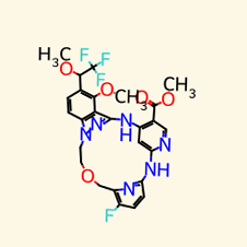 COC(=O)c1cnc2cc1Nc1nn(c3ccc(C(OC)C(F)(F)F)c(OC)c13)CCOCc1nc(ccc1F)N2